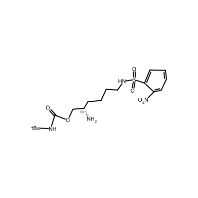 CC(C)(C)NC(=O)OC[C@@H](N)CCCCNS(=O)(=O)c1ccccc1[N+](=O)[O-]